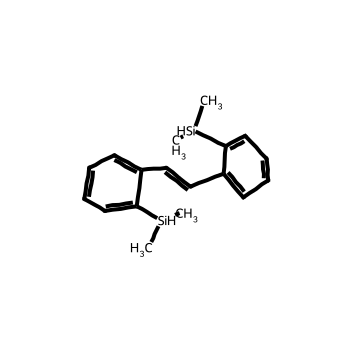 C[SiH](C)c1ccccc1C=Cc1ccccc1[SiH](C)C